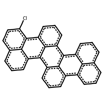 Clc1ccc2cccc3c2c1c1cccc2c1c3c1cccc3c4cccc5cccc(c54)c2c31